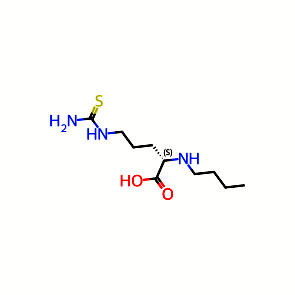 CCCCN[C@@H](CCCNC(N)=S)C(=O)O